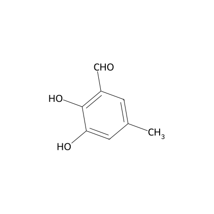 Cc1cc(O)c(O)c(C=O)c1